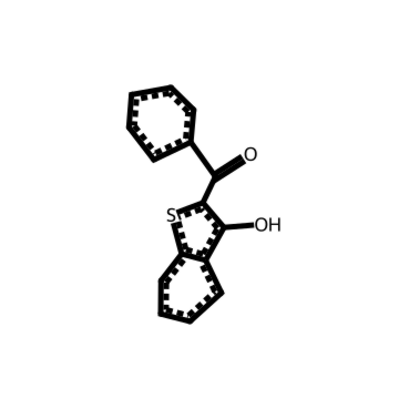 O=C(c1ccccc1)c1sc2ccccc2c1O